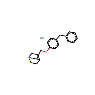 Cl.c1ccc(Cc2ccc(OCC3CN4CCC3CC4)cc2)cc1